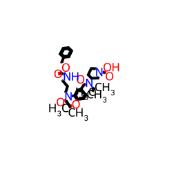 Cc1cc2c(cc1C(=O)N(C(C)C)[C@@H]1CCCN(C(=O)O)C1)N(CCCNC(=O)OCc1ccccc1)C(=O)C(C)(C)O2